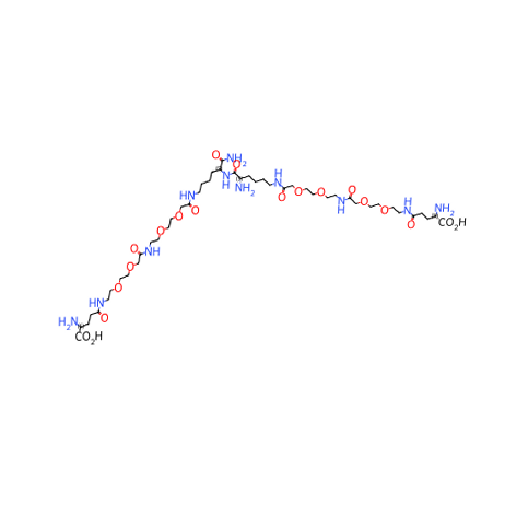 NC(=O)[C@H](CCCCNC(=O)COCCOCCNC(=O)COCCOCCNC(=O)CC[C@H](N)C(=O)O)NC(=O)[C@@H](N)CCCCNC(=O)COCCOCCNC(=O)COCCOCCNC(=O)CC[C@H](N)C(=O)O